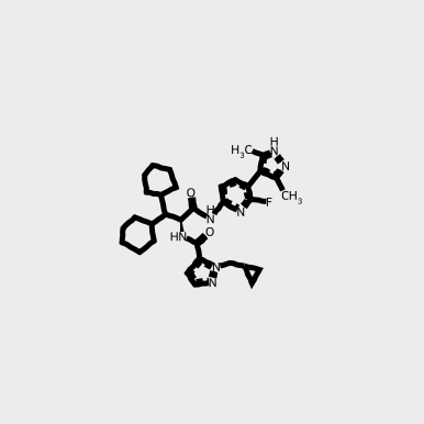 Cc1n[nH]c(C)c1-c1ccc(NC(=O)[C@@H](NC(=O)c2ccnn2CC2CC2)C(C2CCCCC2)C2CCCCC2)nc1F